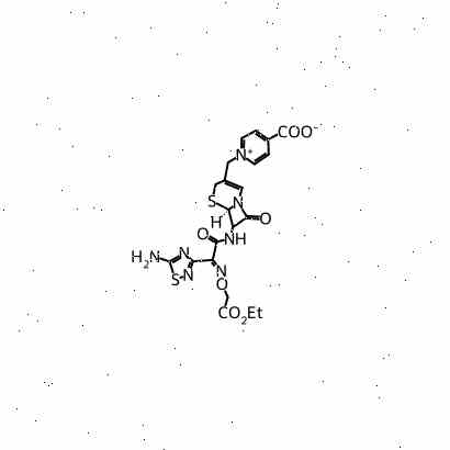 CCOC(=O)CON=C(C(=O)NC1C(=O)N2C=C(C[n+]3ccc(C(=O)[O-])cc3)CS[C@H]12)c1nsc(N)n1